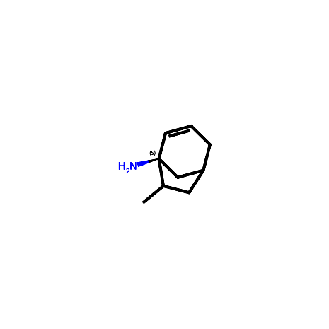 CC1CC2CC=C[C@]1(N)C2